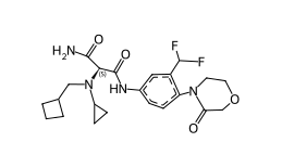 NC(=O)[C@@H](C(=O)Nc1ccc(N2CCOCC2=O)c(C(F)F)c1)N(CC1CCC1)C1CC1